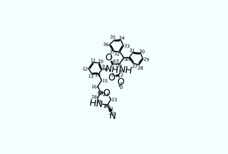 COC(=O)N[C@H](C(=O)Nc1ccccc1CC[C@@H]1CN[C@H](C#N)CO1)C(c1ccccc1)c1ccccc1